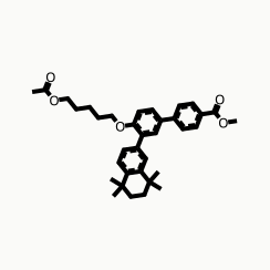 COC(=O)c1ccc(-c2ccc(OCCCCCOC(C)=O)c(-c3ccc4c(c3)C(C)(C)CCC4(C)C)c2)cc1